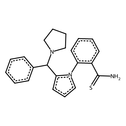 NC(=S)c1ccccc1-n1cccc1C(c1ccccc1)N1CCCC1